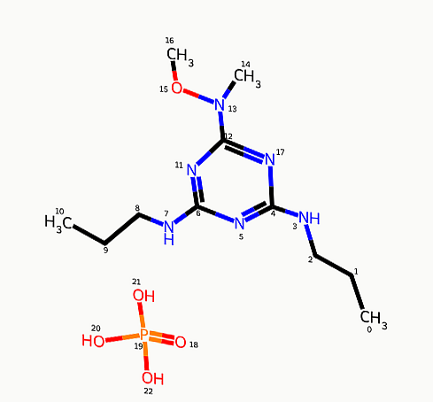 CCCNc1nc(NCCC)nc(N(C)OC)n1.O=P(O)(O)O